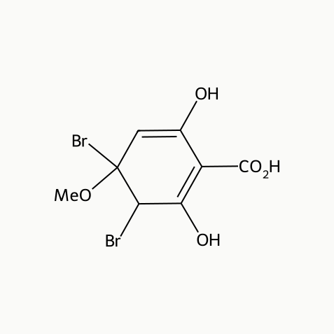 COC1(Br)C=C(O)C(C(=O)O)=C(O)C1Br